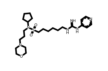 N=C(NCCCCCCS(=O)(=O)N(CCCN1CCOCC1)C1CCCC1)Nc1ccncc1